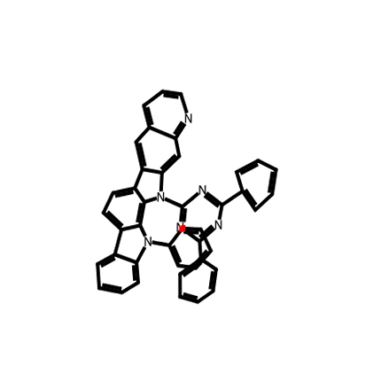 c1ccc(-c2nc(-c3ccccc3)nc(-n3c4cc5ncccc5cc4c4ccc5c6ccccc6n(-c6ccccc6)c5c43)n2)cc1